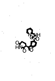 O=C1CCC(c2coc3ccc(S(=O)(=O)Nc4ccccn4)cc23)C(=O)N1